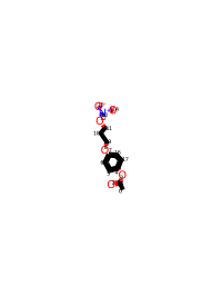 CC(=O)Oc1ccc(OCCCO[N+](=O)[O-])cc1